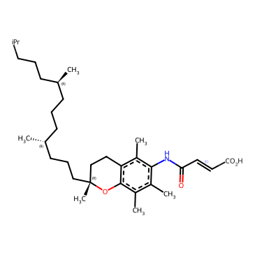 Cc1c(C)c2c(c(C)c1NC(=O)/C=C/C(=O)O)CC[C@@](C)(CCC[C@H](C)CCC[C@H](C)CCCC(C)C)O2